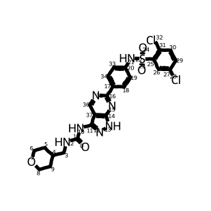 O=C(NCC1CCOCC1)Nc1n[nH]c2nc(-c3ccc(NS(=O)(=O)c4cc(Cl)ccc4Cl)cc3)ncc12